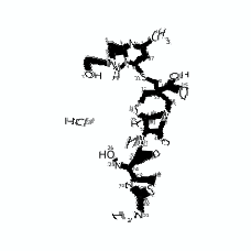 CC1=NC2=CN(CO)NN2C(SCC2(C(=O)O)CS[C@@H]3C(NC(=O)C(=NO)c4csc(N)n4)C(=O)N3C2)=C1.Cl